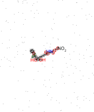 O=C(COCCO[N+](=O)[O-])NCCOC(=O)CCC/C=C/C[C@@H]1[C@@H](/C=C/C(F)(F)COc2ccccc2)[C@H](O)C[C@@H]1O